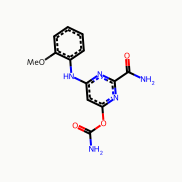 COc1ccccc1Nc1cc(OC(N)=O)nc(C(N)=O)n1